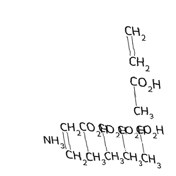 C=C.C=C.CC(=O)O.CC(=O)O.CC(=O)O.CC(=O)O.CC(=O)O.N